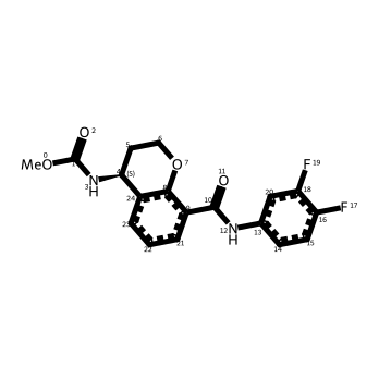 COC(=O)N[C@H]1CCOc2c(C(=O)Nc3ccc(F)c(F)c3)cccc21